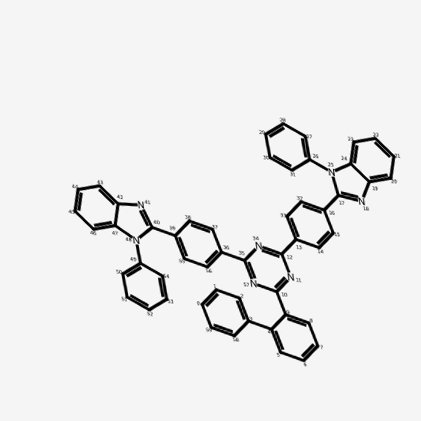 c1ccc(-c2ccccc2-c2nc(-c3ccc(-c4nc5ccccc5n4-c4ccccc4)cc3)nc(-c3ccc(-c4nc5ccccc5n4-c4ccccc4)cc3)n2)cc1